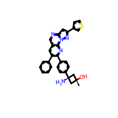 C[C@]1(O)C[C@@](N)(c2ccc(-c3nc4c(cnc5cc(-c6ccsc6)nn54)cc3-c3ccccc3)cc2)C1